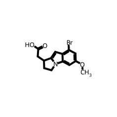 COc1cc(Br)c2cc3n(c2c1)CCC3CC(=O)O